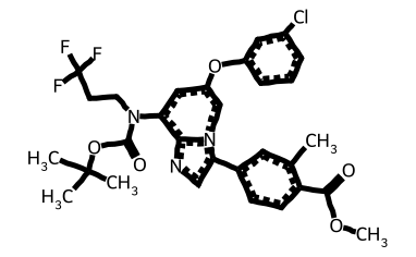 COC(=O)c1ccc(-c2cnc3c(N(CCC(F)(F)F)C(=O)OC(C)(C)C)cc(Oc4cccc(Cl)c4)cn23)cc1C